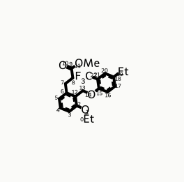 CCOc1cccc(CCC(=O)OC)c1COc1ccc(CC)cc1C(F)(F)F